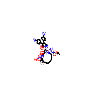 CC(C)(C)OC(=O)N[C@@H]1CCCCC/C=C\[C@@H]2C[C@]2(C(=O)O)NC(=O)C2C[C@H](n3ncc(-c4ccc(C#N)cc4)c(-c4ccc(C#N)cc4)c3=O)CN2C1=O